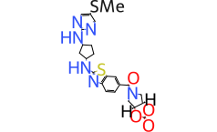 CSc1cnc(N[C@H]2CC[C@H](Nc3nc4ccc(C(=O)N5C[C@@H]6OC(=O)O[C@@H]6C5)cc4s3)C2)nc1